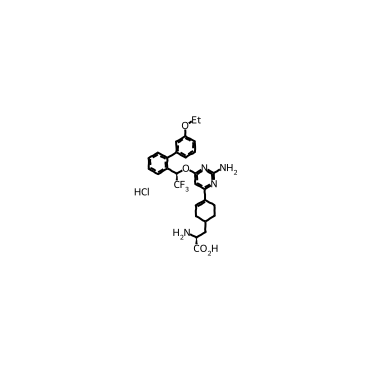 CCOc1cccc(-c2ccccc2[C@@H](Oc2cc(C3=CCC(C[C@H](N)C(=O)O)CC3)nc(N)n2)C(F)(F)F)c1.Cl